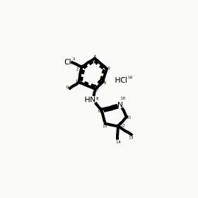 Cc1c(Cl)cccc1NC1=NCC(C)(C)C1.Cl